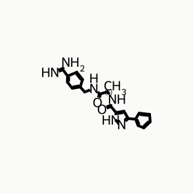 C[C@H](NC(=O)c1cc(-c2ccccc2)n[nH]1)C(=O)NCc1ccc(C(=N)N)cc1